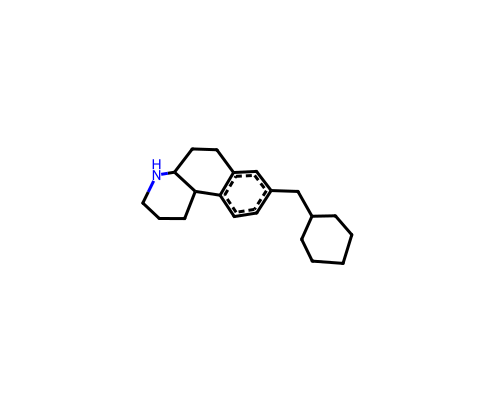 c1cc2c(cc1CC1CCCCC1)CCC1NCCCC21